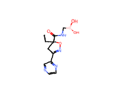 CCC1(C(=O)NCB(O)O)CC(c2cnccn2)=NO1